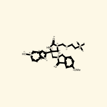 COc1ccc2c(c1)C(=O)N(C[C@@]1(c3cc4c[n+](O)ccc4o3)NC(=O)N(COCC[Si](C)(C)C)C1=O)C2